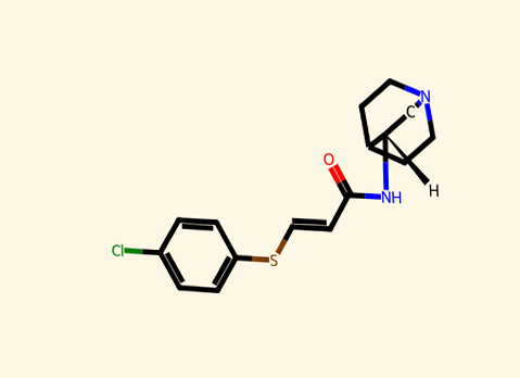 O=C(C=CSc1ccc(Cl)cc1)N[C@H]1CN2CCC1CC2